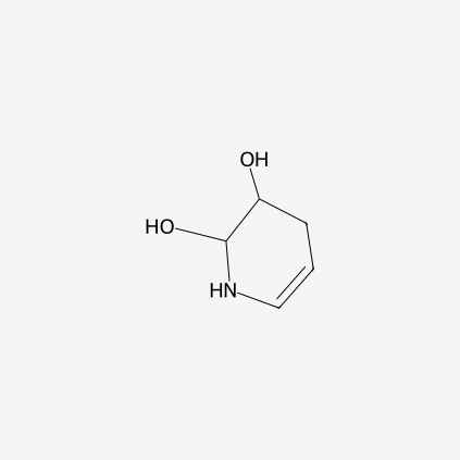 OC1CC=CNC1O